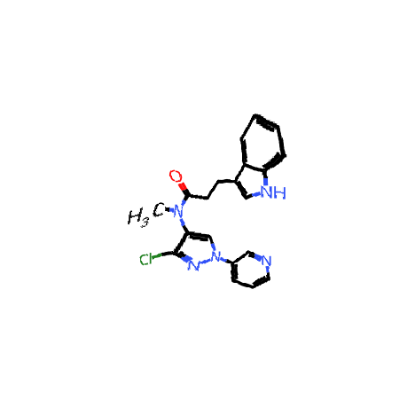 CN(C(=O)CCc1c[nH]c2ccccc12)c1cn(-c2cccnc2)nc1Cl